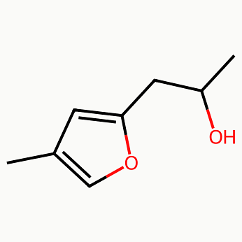 Cc1coc(CC(C)O)c1